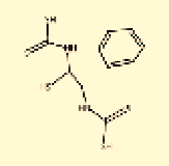 S=C(S)NCC(S)NC(=S)S.c1ccccc1